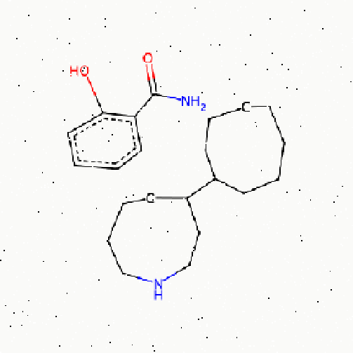 C1CCCC(C2CCCCNCC2)CCC1.NC(=O)c1ccccc1O